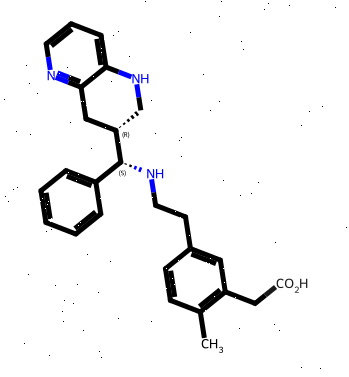 Cc1ccc(CCN[C@H](c2ccccc2)[C@H]2CNc3cccnc3C2)cc1CC(=O)O